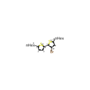 CCCCCCc1ccc(-c2sc(CCCCCC)cc2Br)s1